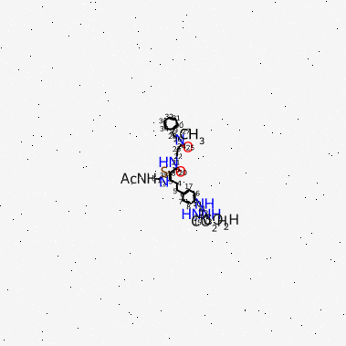 CC(=O)Nc1nc(CCc2ccc(NC(NC(=O)O)NC(=O)O)cc2)c(C(=O)NCCC(=O)N(C)Cc2ccccc2)s1